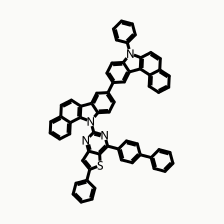 c1ccc(-c2ccc(-c3nc(-n4c5ccc(-c6ccc7c(c6)c6c8ccccc8ccc6n7-c6ccccc6)cc5c5ccc6ccccc6c54)nc4cc(-c5ccccc5)sc34)cc2)cc1